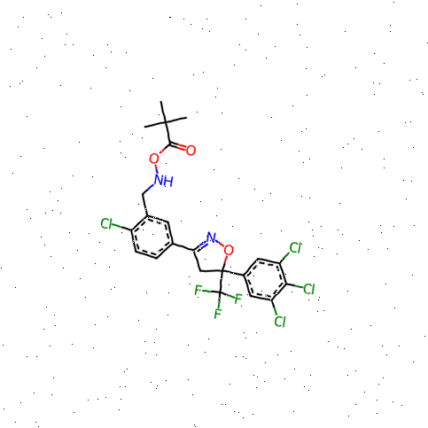 CC(C)(C)C(=O)ONCc1cc(C2=NOC(c3cc(Cl)c(Cl)c(Cl)c3)(C(F)(F)F)C2)ccc1Cl